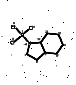 CC[Si](Cl)(Cl)N1CCC2CCCCC21